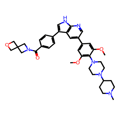 COc1cc(-c2cnc3[nH]cc(-c4ccc(C(=O)N5CC6(COC6)C5)cc4)c3c2)cc(OC)c1N1CCN(C2CCN(C)CC2)CC1